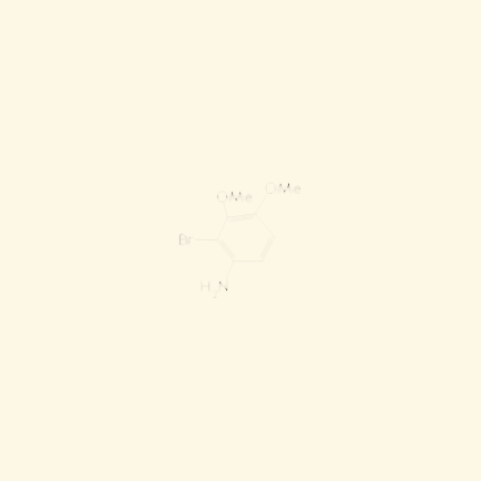 COc1ccc(N)c(Br)c1OC